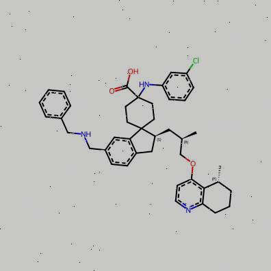 C[C@@H](COc1ccnc2c1[C@H](C)CCC2)C[C@H]1Cc2ccc(CNCc3ccccc3)cc2C12CCC(Nc1cccc(Cl)c1)(C(=O)O)CC2